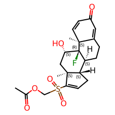 CC(=O)OCS(=O)(=O)C1=CC[C@H]2[C@@H]3CCC4=CC(=O)C=C[C@]4(C)[C@@]3(F)[C@@H](O)C[C@]12C